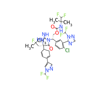 CC(C)(F)C[C@]1(C2C=CC(c3cnn(C(F)F)c3)=CC2)NC(=N)N([C@H](COC(=O)NC(C)(C)C(F)F)c2ccc(Cl)c(-c3ncnn3C(F)F)c2)C1=O